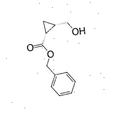 O=C(OCc1ccccc1)[C@@H]1C[C@@H]1CO